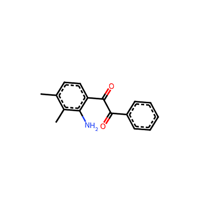 Cc1ccc(C(=O)C(=O)c2ccccc2)c(N)c1C